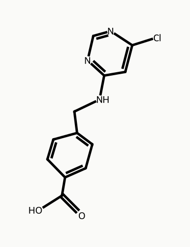 O=C(O)c1ccc(CNc2cc(Cl)ncn2)cc1